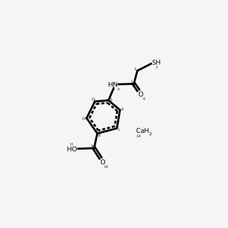 O=C(CS)Nc1ccc(C(=O)O)cc1.[CaH2]